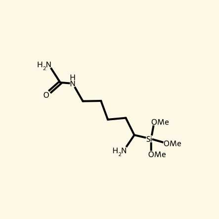 CO[Si](OC)(OC)C(N)CCCCNC(N)=O